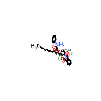 CCCCCCCCCCCC(CCC(Cl)C(C(=O)C(C)(C)C)N1C(=O)c2ccccc2C1=O)OC(=O)CC(=O)Nc1ccccc1